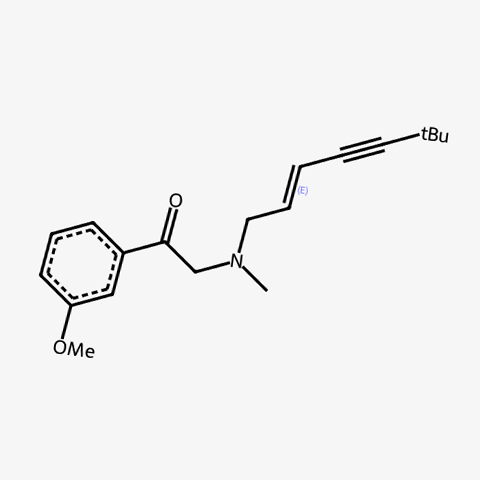 COc1cccc(C(=O)CN(C)C/C=C/C#CC(C)(C)C)c1